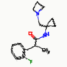 CC(C(=O)NC1(CN2CCC2)CC1)c1ccccc1F